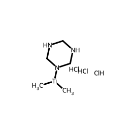 Cl.Cl.Cl.[CH3][Ti]([CH3])[N]1CNCNC1